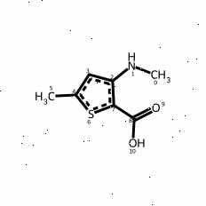 CNc1cc(C)sc1C(=O)O